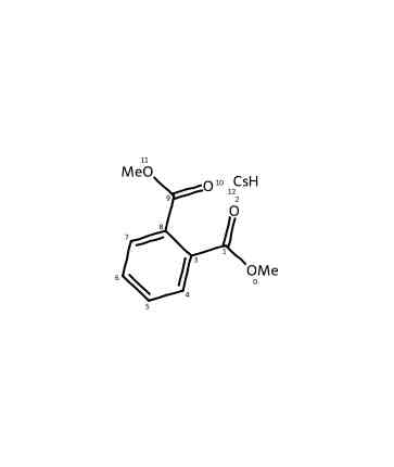 COC(=O)c1ccccc1C(=O)OC.[CsH]